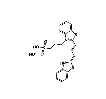 O=S(=O)(O)CCC[n+]1c(C=CC=C2Nc3ccccc3S2)sc2ccccc21.[OH-]